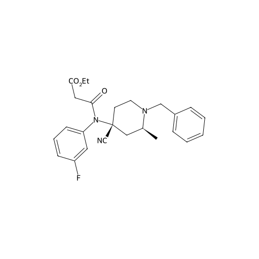 CCOC(=O)CC(=O)N(c1cccc(F)c1)[C@]1(C#N)CCN(Cc2ccccc2)[C@@H](C)C1